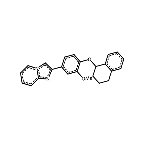 COc1cc(-c2cn3ccccc3n2)ccc1OC1CCCc2ccccc21